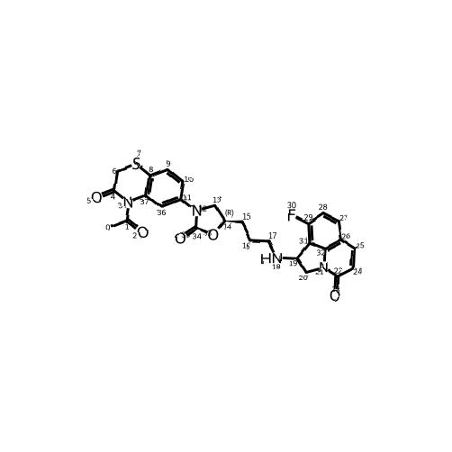 CC(=O)N1C(=O)CSc2ccc(N3C[C@@H](CCCNC4Cn5c(=O)ccc6ccc(F)c4c65)OC3=O)cc21